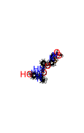 CCOC(=O)N1C=CN2c3cc(Oc4ccccc4CNC(=O)Nc4cc(C(C)(C)C)nn4-c4ccc(O)cc4)ccc3SC12